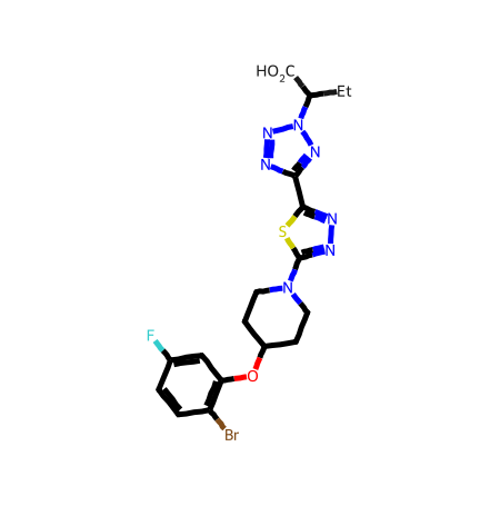 CCC(C(=O)O)n1nnc(-c2nnc(N3CCC(Oc4cc(F)ccc4Br)CC3)s2)n1